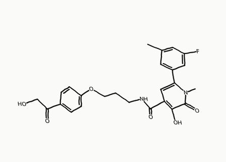 Cc1cc(F)cc(-c2cc(C(=O)NCCCOc3ccc(C(=O)CO)cc3)c(O)c(=O)n2C)c1